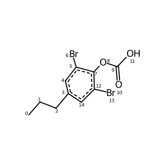 CCCc1cc(Br)c(OC(=O)O)c(Br)c1